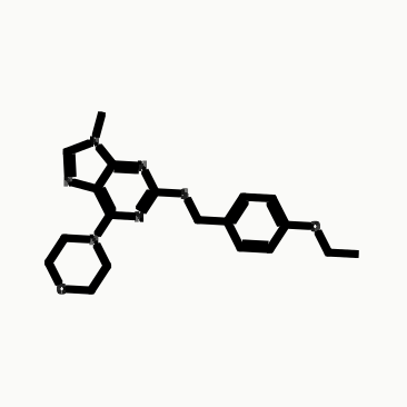 CCOc1ccc(CSc2nc(N3CCOCC3)c3ncn(C)c3n2)cc1